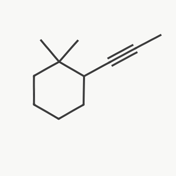 CC#CC1CCCCC1(C)C